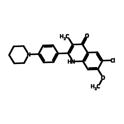 COc1cc2[nH]c(-c3ccc(N4CCCCC4)cc3)c(C)c(=O)c2cc1Cl